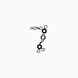 COc1ccc(CCN2CCN(c3ccc(Cl)c(OCCO)c3)CC2)cc1OC